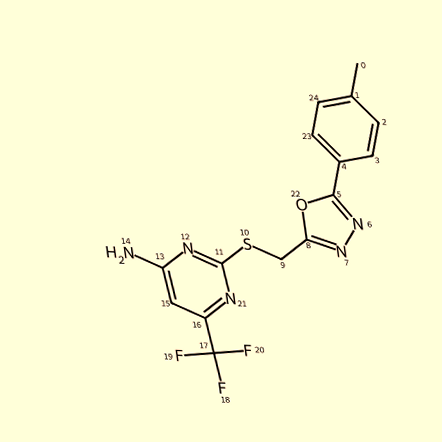 Cc1ccc(-c2nnc(CSc3nc(N)cc(C(F)(F)F)n3)o2)cc1